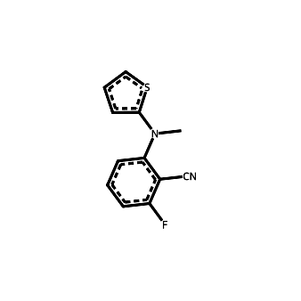 CN(c1cccs1)c1cccc(F)c1C#N